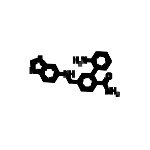 NC(=O)c1ccc(CNc2ccc3ncsc3c2)cc1-c1ccccc1N